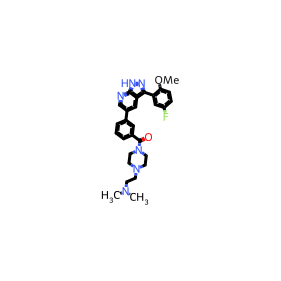 COc1ccc(F)cc1-c1n[nH]c2ncc(-c3cccc(C(=O)N4CCN(CCN(C)C)CC4)c3)cc12